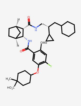 COc1cc(F)c(OC2CCC(C)(C(=O)O)CC2)cc1C(=O)N[C@@H]1[C@H]2CC[C@H](C2)[C@@H]1C(=O)NC[C@H](CC1CCCCC1)C1CC1